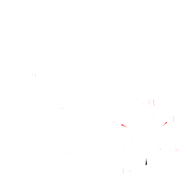 CCCCCOc1ccc(Cc2cc(Cl)ccc2O[C@@H]2S[C@H](CO)[C@@H](O)[C@H](O)[C@H]2O)cc1